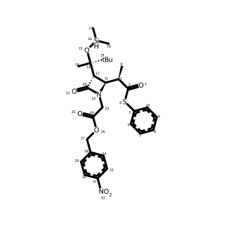 C[C@@H](C(=O)Sc1ccccc1)[C@@H]1[C@@H]([C@@](C)(O[SiH](C)C)C(C)(C)C)C(=O)N1CC(=O)OCc1ccc([N+](=O)[O-])cc1